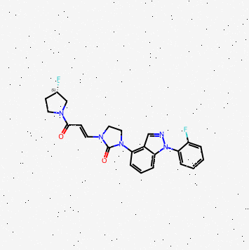 O=C(C=CN1CCN(c2cccc3c2cnn3-c2ccccc2F)C1=O)N1CC[C@H](F)C1